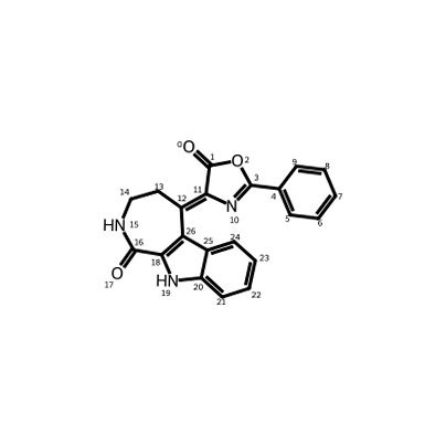 O=C1OC(c2ccccc2)=N/C1=C1/CCNC(=O)c2[nH]c3ccccc3c21